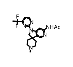 CC(=O)Nc1cc2c(cn1)C1(CCN(C)CC1)CN2c1nccc(C(C)(F)F)n1